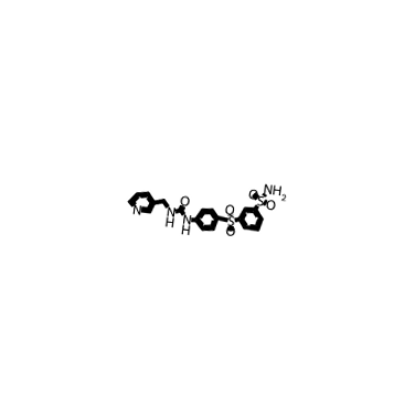 NS(=O)(=O)c1cccc(S(=O)(=O)c2ccc(NC(=O)NCc3cccnc3)cc2)c1